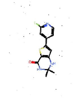 CC1(C)NC(=O)c2sc(-c3ccnc(F)c3)cc2N1